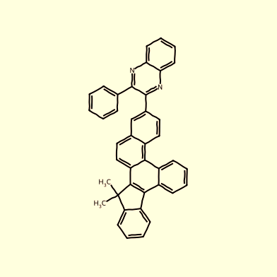 CC1(C)c2ccccc2-c2c1c1ccc3cc(-c4nc5ccccc5nc4-c4ccccc4)ccc3c1c1ccccc21